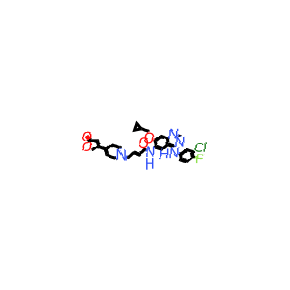 O=C(/C=C/CN1CCC(C2COC(=O)C2)CC1)Nc1cc2c(Nc3ccc(F)c(Cl)c3)ncnc2cc1OCC1CC1